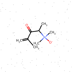 C=C(C)C(=O)C(C)[N+](C)(C)[O-]